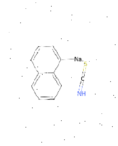 N=C=S.[Na][c]1cccc2ccccc12